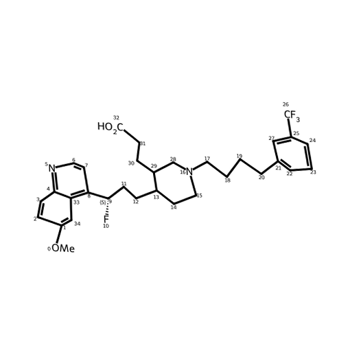 COc1ccc2nccc([C@@H](F)CCC3CCN(CCCCc4cccc(C(F)(F)F)c4)CC3CCC(=O)O)c2c1